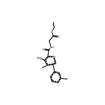 CCOC(=O)CNC(=O)c1ncc(-c2cccc(F)c2)c(C)c1O